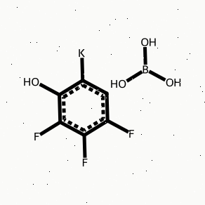 OB(O)O.Oc1[c]([K])cc(F)c(F)c1F